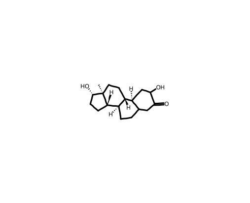 C[C@]12CC[C@H]3[C@@H](CCC4CC(=O)C(O)C[C@@H]43)[C@@H]1CC[C@@H]2O